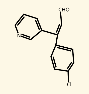 O=C/C=C(/c1ccc(Cl)cc1)c1cccnc1